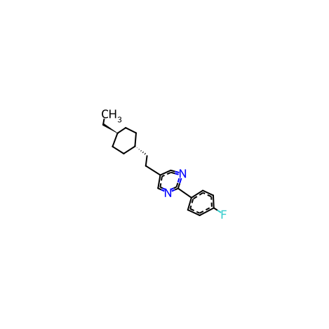 CC[C@H]1CC[C@H](CCc2cnc(-c3ccc(F)cc3)nc2)CC1